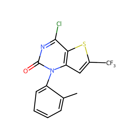 Cc1ccccc1-n1c(=O)nc(Cl)c2sc(C(F)(F)F)cc21